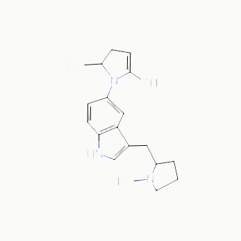 CC1=CCC(C)N1c1ccc2[nH]cc(CC3CCCN3C)c2c1